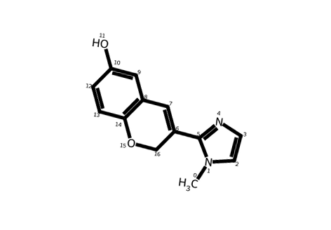 Cn1ccnc1C1=Cc2cc(O)ccc2OC1